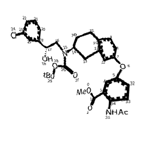 COC(=O)c1cc(Oc2ccc3c(c2)C[C@@H](N(C[C@H](O)c2cccc(Cl)c2)C(=O)OC(C)(C)C)CC3)ccc1NC(C)=O